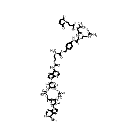 CC(C)[C@@H](NC(=O)CCN1C(=O)C=CC1=O)C(=O)N[C@H](CCNC(N)=O)C(=O)Nc1ccc(COC(=O)N(C)CCOC(=O)Nc2ncnc3c2ncn3[C@@H]2O[C@@H]3COP(=O)(S)O[C@H]4[C@@H](F)[C@H](n5cnc6c5N=CNC6N)O[C@@H]4COP(=O)(S)O[C@H]3[C@H]2F)cc1